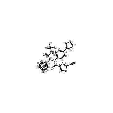 C#Cc1nc(C(=O)N(c2ccc(-c3cnco3)cc2)C(C(=O)NC(C)(C)C)[C]23[CH]4[CH]5[CH]6[CH]2[Fe]56432789[CH]3[CH]2[CH]7[CH]8[CH]39)cs1